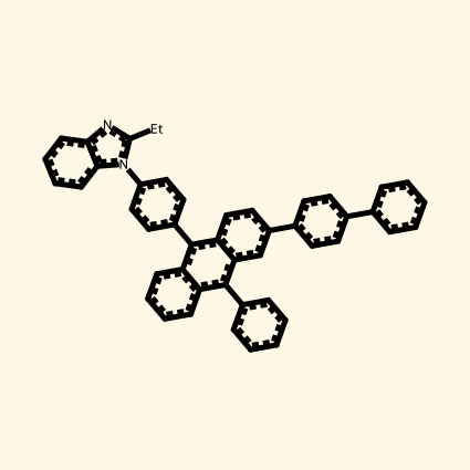 CCc1nc2ccccc2n1-c1ccc(-c2c3ccccc3c(-c3ccccc3)c3cc(-c4ccc(-c5ccccc5)cc4)ccc23)cc1